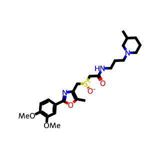 COc1ccc(-c2nc(C[S+]([O-])CC(=O)NCCCN3CCCC(C)C3)c(C)o2)cc1OC